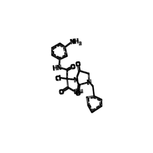 CC(C)(C)C(=O)C(Cl)(C(=O)Nc1cccc(N)c1)N1C(=O)CN(Cc2ccccc2)C1=O